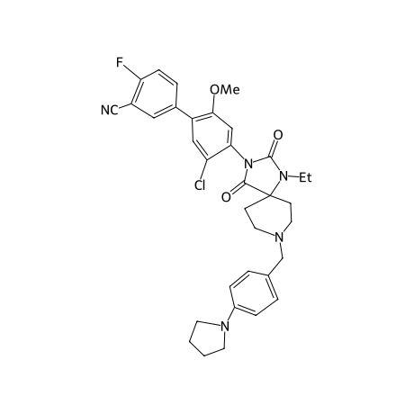 CCN1C(=O)N(c2cc(OC)c(-c3ccc(F)c(C#N)c3)cc2Cl)C(=O)C12CCN(Cc1ccc(N3CCCC3)cc1)CC2